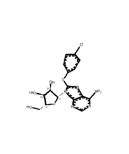 Nc1ncnc2c1nc(Sc1ccc(Cl)cc1)n2[C@@H]1O[C@H](CO)[C@@H](O)[C@H]1O